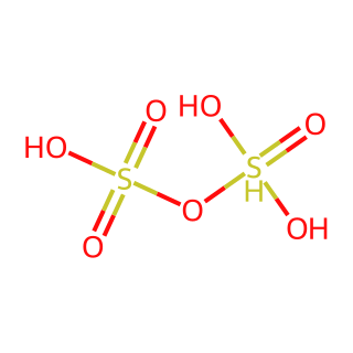 O=S(=O)(O)O[SH](=O)(O)O